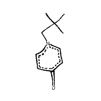 CC(C)(C)Cn1ccc(=O)cc1